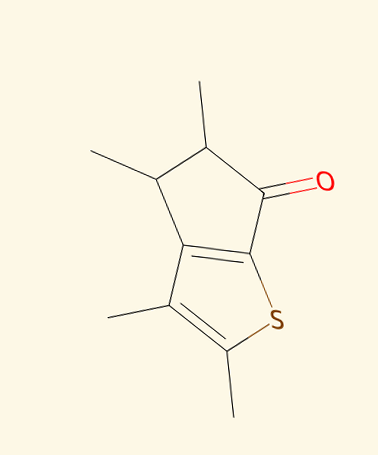 Cc1sc2c(c1C)C(C)C(C)C2=O